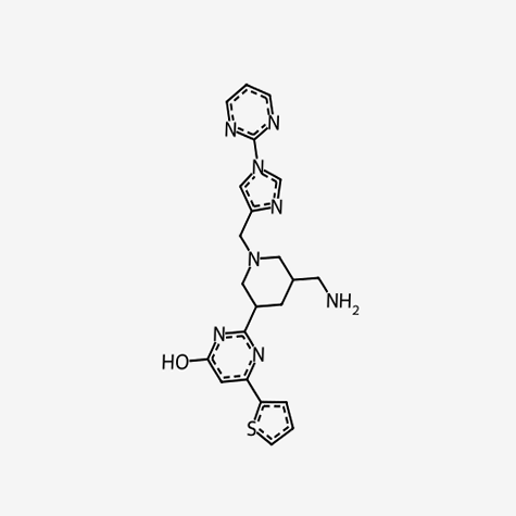 NCC1CC(c2nc(O)cc(-c3cccs3)n2)CN(Cc2cn(-c3ncccn3)cn2)C1